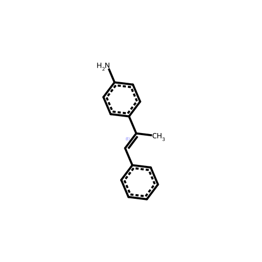 C/C(=C\c1ccccc1)c1ccc(N)cc1